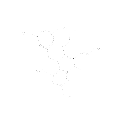 CO/C=C/C1=C(/C=C/OC)C(Cc2cc(OC)cc(OC)c2)c2c(OC)cc(OC)cc2C1O